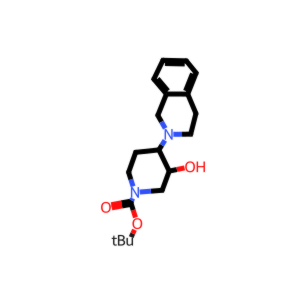 CC(C)(C)OC(=O)N1CCC(N2CCc3ccccc3C2)C(O)C1